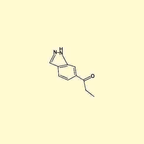 CCC(=O)c1ccc2cn[nH]c2c1